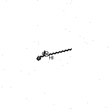 CCCCCCCCCCCCCCCCSCC(CCN1CCCC1)OC(C)=O.I